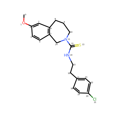 COc1ccc2c(c1)CCCN(C(=S)NCCc1ccc(Cl)cc1)C2